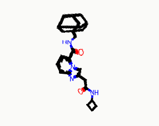 O=C(Cc1cn2c(C(=O)NCC34CC5CC(CC(C5)C3)C4)cccc2n1)NC1CCC1